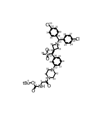 CC(C)(C)OC(=O)NCC(=O)N1CCN(c2cccc(C(=C3CN(C(c4ccc(Cl)cc4)c4ccc(Cl)cc4)C3)S(C)(=O)=O)c2)CC1